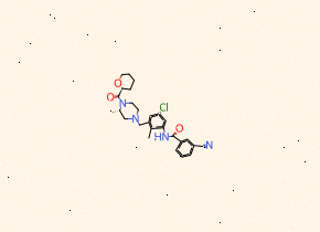 Cc1c(CN2CCN(C(=O)[C@@H]3CCCCO3)[C@@H](C)C2)cc(Cl)cc1NC(=O)c1cccc(C#N)c1